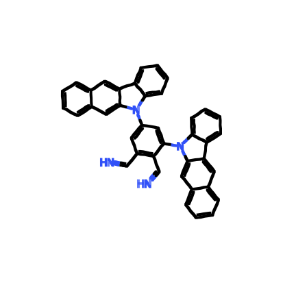 N=Cc1cc(-n2c3ccccc3c3cc4ccccc4cc32)cc(-n2c3ccccc3c3cc4ccccc4cc32)c1C=N